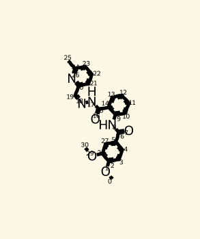 COc1ccc(C(=O)Nc2ccccc2C(=O)N/N=C\c2cccc(C)n2)cc1OC